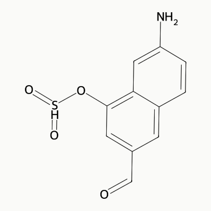 Nc1ccc2cc(C=O)cc(O[SH](=O)=O)c2c1